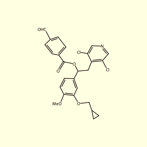 COc1ccc(C(Cc2c(Cl)cncc2Cl)OC(=O)c2ccc(C=O)cc2)cc1OCC1CC1